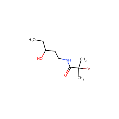 CCC(O)CCNC(=O)C(C)(C)Br